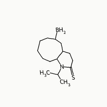 BC1CCCCCC2C(CCC(=S)N2C(C)C)C1